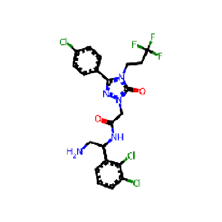 NCC(NC(=O)Cn1nc(-c2ccc(Cl)cc2)n(CCC(F)(F)F)c1=O)c1cccc(Cl)c1Cl